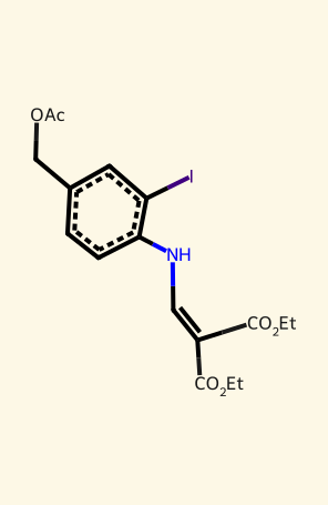 CCOC(=O)C(=CNc1ccc(COC(C)=O)cc1I)C(=O)OCC